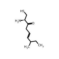 CCC(C)/C=C/CC(=O)[C@@H](N)CS